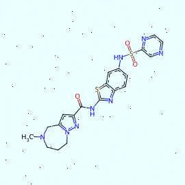 CN1CCCn2nc(C(=O)Nc3nc4ccc(NS(=O)(=O)c5cnccn5)cc4s3)cc2C1